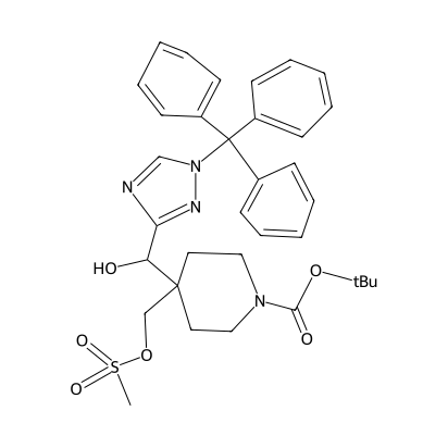 CC(C)(C)OC(=O)N1CCC(COS(C)(=O)=O)(C(O)c2ncn(C(c3ccccc3)(c3ccccc3)c3ccccc3)n2)CC1